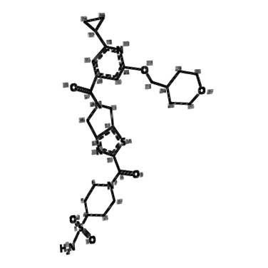 NS(=O)(=O)C1CCN(C(=O)c2nc3c(s2)CN(C(=O)c2cc(OCC4CCOCC4)nc(C4CC4)c2)C3)CC1